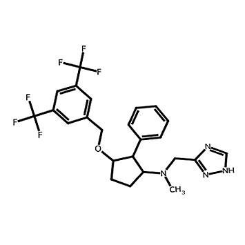 CN(Cc1nc[nH]n1)C1CCC(OCc2cc(C(F)(F)F)cc(C(F)(F)F)c2)C1c1ccccc1